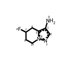 Nc1cnn2c1CC(F)CC2